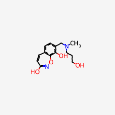 CN(CCCO)Cc1ccc2c(c1O)ON=C(O)C=C2